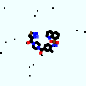 Cc1cc(C(=O)N2CCN(C(=O)C3=CSNN3)CC2)ccc1NS(=O)(=O)c1cccc2cccnc12